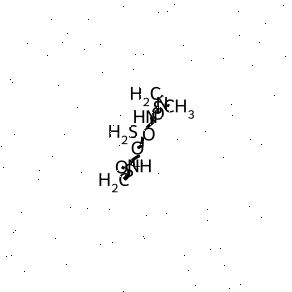 C=CN(C)SONCCOCCOCCN[S+]([O-])C=C.S